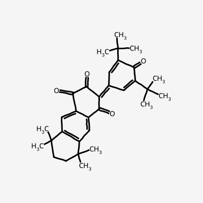 CC(C)(C)C1=CC(=C2C(=O)C(=O)c3cc4c(cc3C2=O)C(C)(C)CCC4(C)C)C=C(C(C)(C)C)C1=O